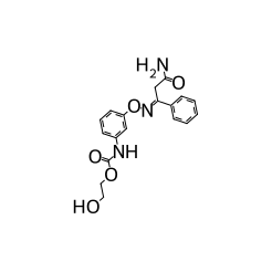 NC(=O)C/C(=N\Oc1cccc(NC(=O)OCCO)c1)c1ccccc1